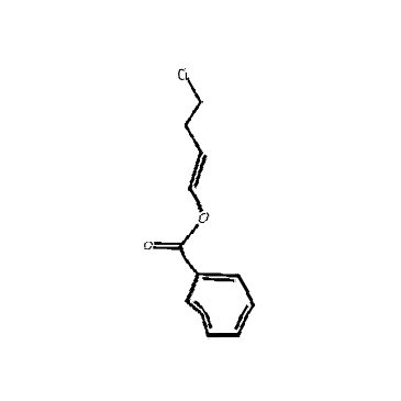 O=C(OC=CCCCl)c1ccccc1